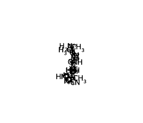 CN(c1c(C#N)cnc2[nH]ccc12)C1C[C@@H]2CN(C(=O)Nc3nc(OCC(C)(C)N)ns3)C[C@@H]2C1